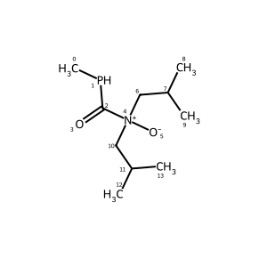 CPC(=O)[N+]([O-])(CC(C)C)CC(C)C